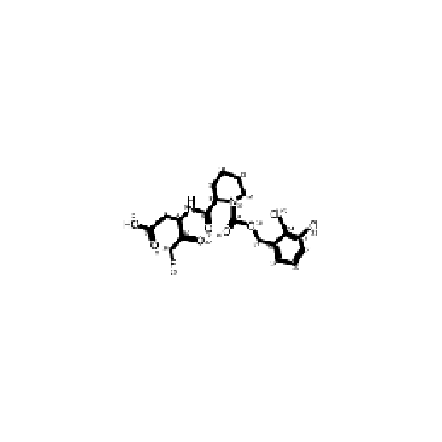 O=C(O)CC(NC(=O)C1CCCCN1C(=O)OCc1cccc(Cl)c1Cl)C(=O)CF